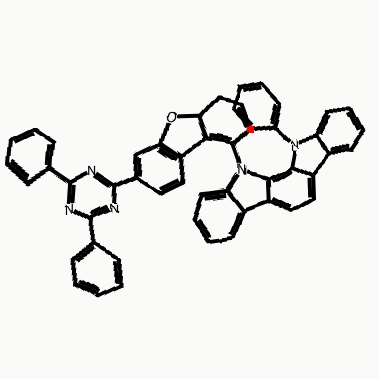 C1=CC(n2c3ccccc3c3ccc4c5ccccc5n(-c5ccccc5)c4c32)=C2c3ccc(-c4nc(-c5ccccc5)nc(-c5ccccc5)n4)cc3OC2C1